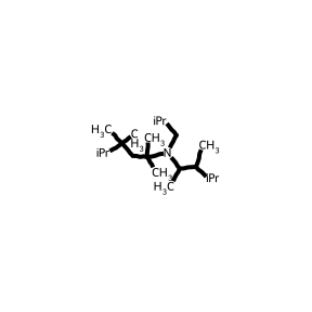 CC(C)CN(C(C)C(C)C(C)C)C(C)(C)CC(C)(C)C(C)C